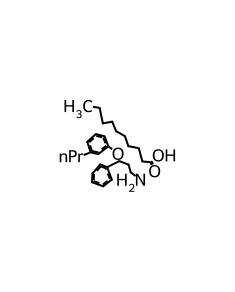 CCCCCCCCCC(=O)O.CCCc1cccc(OC(CCN)c2ccccc2)c1